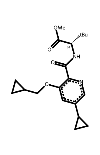 COC(=O)[C@@H](NC(=O)c1ncc(C2CC2)cc1OCC1CC1)C(C)(C)C